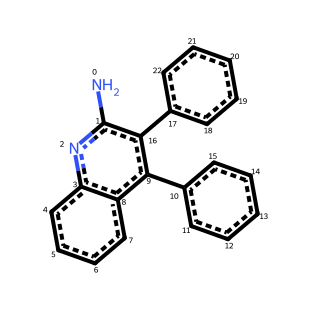 Nc1nc2ccccc2c(-c2ccccc2)c1-c1ccccc1